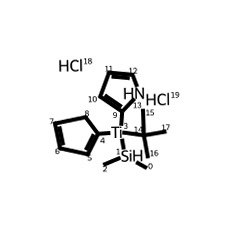 C[SiH](C)[Ti]([C]1=CC=CC1)([c]1ccc[nH]1)[C](C)(C)C.Cl.Cl